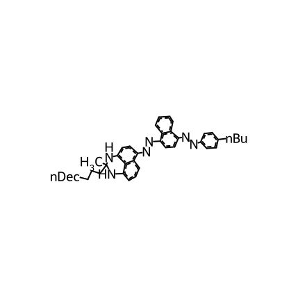 CCCCCCCCCCCCCC1(C)Nc2cccc3c(N=Nc4ccc(N=Nc5ccc(CCCC)cc5)c5ccccc45)ccc(c23)N1